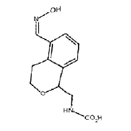 O=C(O)NCC1OCCc2c(/C=N\O)cccc21